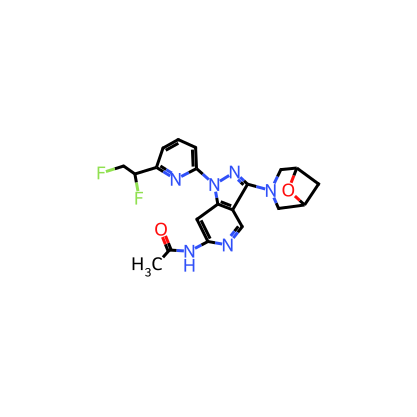 CC(=O)Nc1cc2c(cn1)c(N1CC3CC(C1)O3)nn2-c1cccc(C(F)CF)n1